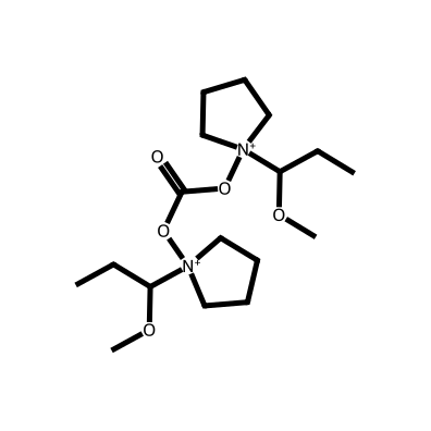 CCC(OC)[N+]1(OC(=O)O[N+]2(C(CC)OC)CCCC2)CCCC1